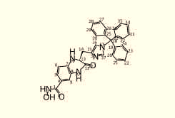 O=C(NO)c1ccc2c(c1)NC(=O)[C@H](Cc1cn(C(c3ccccc3)(c3ccccc3)c3ccccc3)cn1)N2